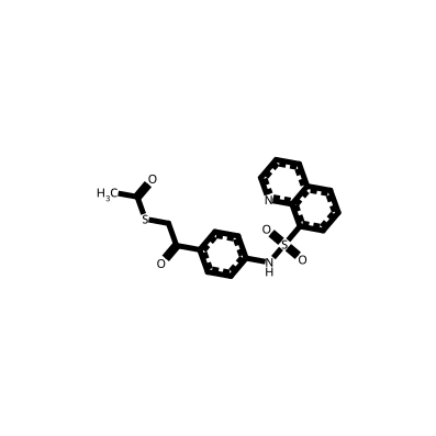 CC(=O)SCC(=O)c1ccc(NS(=O)(=O)c2cccc3cccnc23)cc1